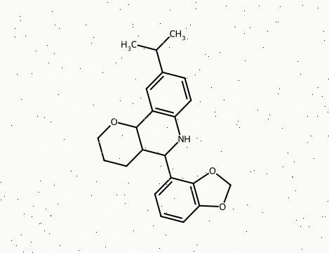 CC(C)c1ccc2c(c1)C1OCCCC1C(c1cccc3c1OCO3)N2